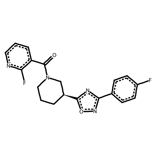 O=C(c1cccnc1F)N1CCC[C@H](c2nc(-c3ccc(F)cc3)no2)C1